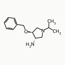 CC(C)N1C[C@H](OCc2ccccc2)[C@@H](N)C1